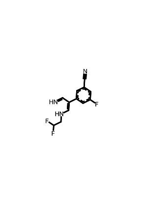 N#Cc1cc(F)cc(/C(C=N)=C/NCC(F)F)c1